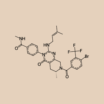 CNC(=O)c1ccc(-n2c(NCC=C(C)C)nc3c(c2=O)C[C@@H](C)N(C(=O)c2ccc(Br)c(C(F)(F)F)c2)C3)cc1